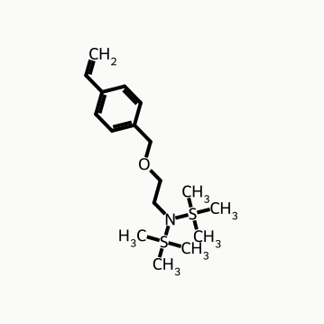 C=Cc1ccc(COCCN(S(C)(C)C)S(C)(C)C)cc1